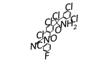 C#CCN(C(=O)c1cc(C2(C(N)=O)C(c3cc(Cl)cc(Cl)c3)C2(Cl)Cl)ccc1Cl)c1ccc(F)cc1C#N